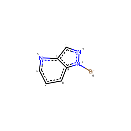 Brn1ncc2ncccc21